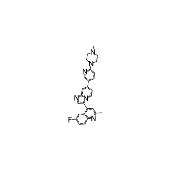 Cc1cc(-c2cnc3cc(-c4ccc(N5CCN(C)CC5)nc4)ccn23)c2cc(F)ccc2n1